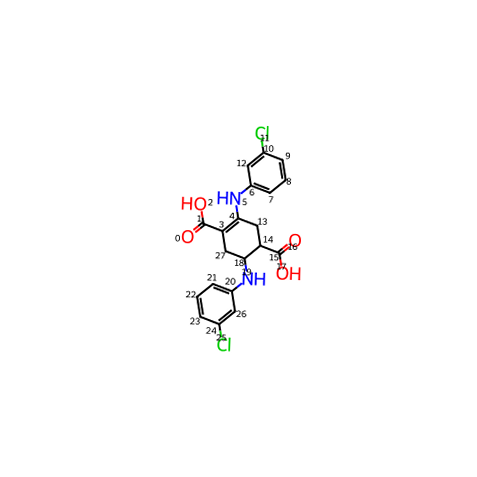 O=C(O)C1=C(Nc2cccc(Cl)c2)CC(C(=O)O)C(Nc2cccc(Cl)c2)C1